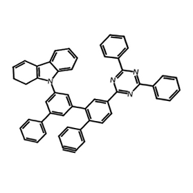 c1ccc(-c2ccc(-c3nc(-c4ccccc4)nc(-c4ccccc4)n3)cc2-c2cc(-c3ccccc3)cc(-n3c4c(c5ccccc53)C=CCC4)c2)cc#1